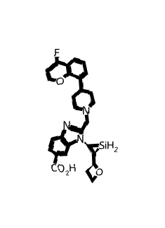 O=C(O)c1ccc2nc(CN3CCC(c4cccc5c4OCC=C5F)CC3)n([C@@H]3[SiH2][C@H]3[C@@H]3CCO3)c2c1